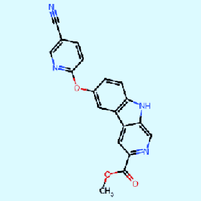 COC(=O)c1cc2c(cn1)[nH]c1ccc(Oc3ccc(C#N)cn3)cc12